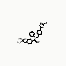 CCC=C(N1CCN(CC(C)(C)O)CC1)N(Cc1ccc(-c2nnc(C(F)(F)F)o2)cc1)c1ccccc1